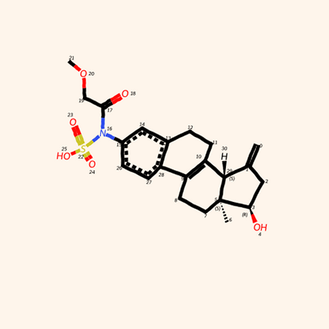 C=C1C[C@@H](O)[C@@]2(C)CCC3=C(CCc4cc(N(C(=O)COC)S(=O)(=O)O)ccc43)[C@H]12